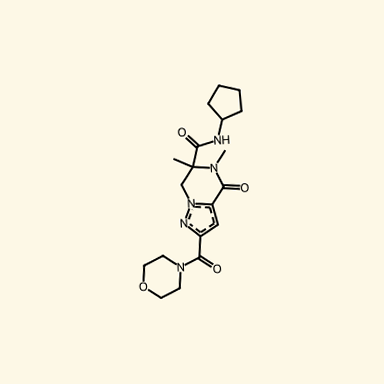 CN1C(=O)c2cc(C(=O)N3CCOCC3)nn2CC1(C)C(=O)NC1CCCC1